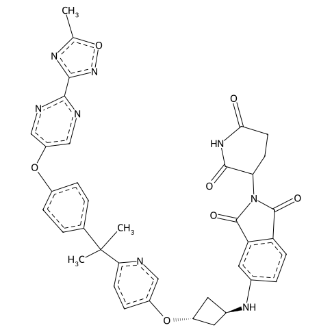 Cc1nc(-c2ncc(Oc3ccc(C(C)(C)c4ccc(O[C@H]5C[C@H](Nc6ccc7c(c6)C(=O)N(C6CCC(=O)NC6=O)C7=O)C5)cn4)cc3)cn2)no1